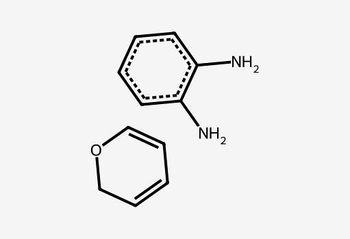 C1=CCOC=C1.Nc1ccccc1N